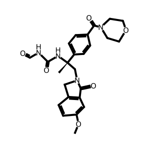 COc1ccc2c(c1)C(=O)N(C[C@](C)(NC(=O)NC=O)c1ccc(C(=O)N3CCOCC3)cc1)C2